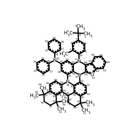 Cc1cc(C(C)(C)C)ccc1N1c2cc(N(c3ccccc3)c3ccccc3)cc3c2B(c2ccc4c5c2N3c2ccc3c(c2C5(C)CCC4(C)C)C(C)(C)CCC3(C)C)c2oc3ccccc3c21